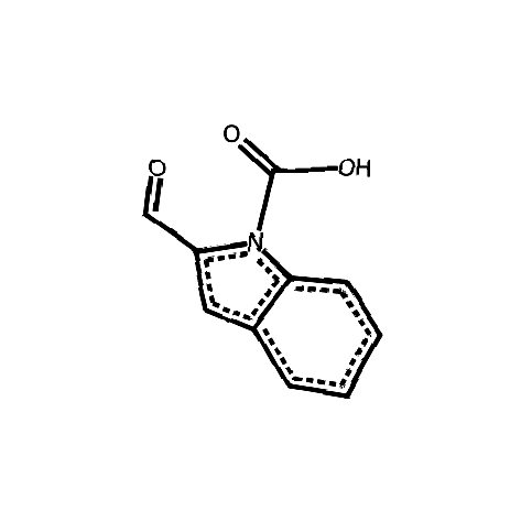 O=Cc1cc2ccccc2n1C(=O)O